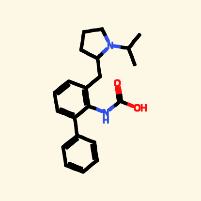 CC(C)N1CCCC1Cc1cccc(-c2ccccc2)c1NC(=O)O